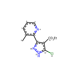 CCOC(=O)c1c(-c2ncccc2C)n[nH]c1Cl